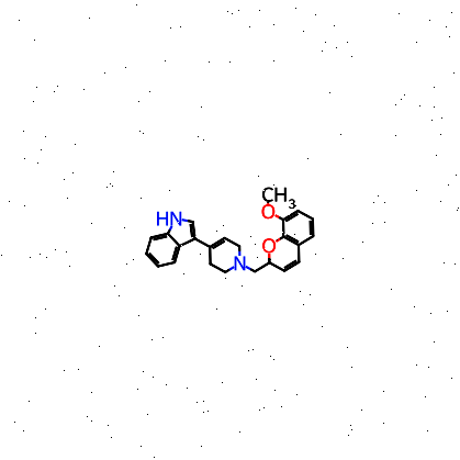 COc1cccc2c1OC(CN1CC=C(c3c[nH]c4ccccc34)CC1)C=C2